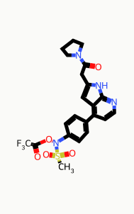 CS(=O)(=O)N(OC(=O)C(F)(F)F)c1ccc(-c2ccnc3[nH]c(CC(=O)N4CCCC4)cc23)cc1